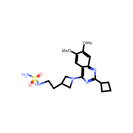 COc1cc2nc(C3CCC3)nc(N3CC(CCNS(N)(=O)=O)C3)c2cc1OC